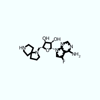 Nc1ncnc2c1c(F)cn2[C@@H]1O[C@H](CN2CCCC23CCNCC3)[C@@H](O)[C@H]1O